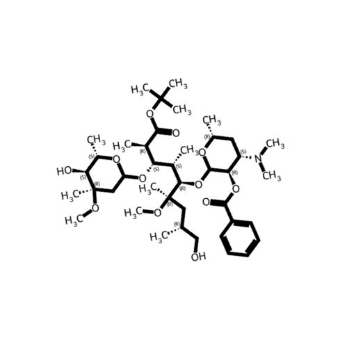 CO[C@](C)(C[C@@H](C)CO)[C@H](OC1O[C@H](C)C[C@H](N(C)C)[C@H]1OC(=O)c1ccccc1)[C@@H](C)[C@H](OC1C[C@@](C)(OC)[C@@H](O)[C@H](C)O1)[C@@H](C)C(=O)OC(C)(C)C